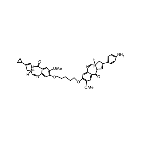 COc1cc2c(cc1OCCCCCOc1cc3c(cc1OC)C(=O)N1C=C(C4CC4)C[C@H]1C=N3)N=C[C@@H]1CC(c3ccc(N)cc3)=CN1C2=O